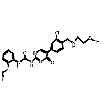 CSCCNCc1ccc(-c2c[nH]c(NC(=O)Nc3ccccc3OCF)nc2=O)cc1Cl